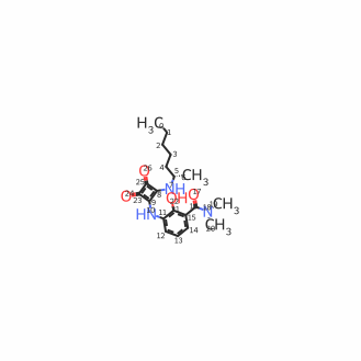 CCCCC[C@H](C)Nc1c(Nc2cccc(C(=O)N(C)C)c2O)c(=O)c1=O